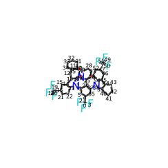 FC(F)(F)c1cc(-n2c3ccccc3c3cc(C(F)(F)F)ccc32)c(-c2cccc(-c3ccccc3)n2)c(-n2c3ccccc3c3cc(C(F)(F)F)ccc32)c1